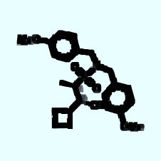 COc1ccc(CN(Cc2ccc(OC)cc2)S(=O)(=O)[C@H](C)[C@H](O)C2CCC2)cc1